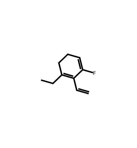 C=CC1=C(CC)CCC=C1F